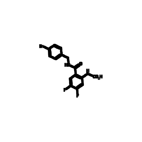 O=C(O)Nc1cc(F)c(F)cc1C(=O)NCc1ccc(Br)cc1